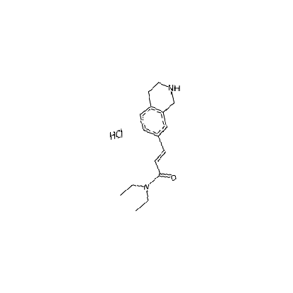 CCN(CC)C(=O)C=Cc1ccc2c(c1)CNCC2.Cl